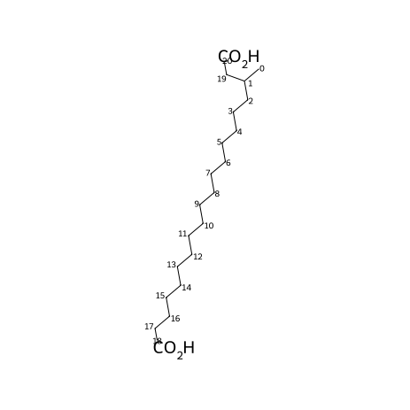 CC(CCCCCCCCCCCCCCCCC(=O)O)CC(=O)O